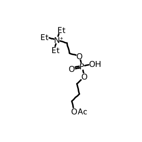 CC[N+](CC)(CC)CCOP(=O)(O)OCCCOC(C)=O